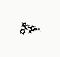 Nc1cc(C(F)(F)F)c(-c2nc(N3CCOCC3)c3cccn3n2)cn1